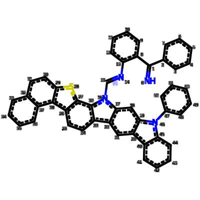 N=C(c1ccccc1)c1ccccc1/N=C/n1c2cc3c(cc2c2ccc4c(sc5ccc6ccccc6c54)c21)c1ccccc1n3-c1ccccc1